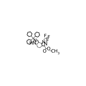 CCOC(=O)c1nn(CC(F)(F)F)c2c1CCC1NN(C(c3ccccc3)(c3ccccc3)c3ccccc3)C=C21